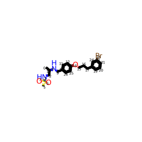 CC(CNS(C)(=O)=O)NCc1ccc(OCCCc2cccc(Br)c2)cc1